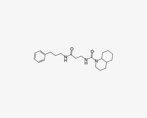 O=C(CCNC(=O)N1CCCC2CCCCC21)NCCCc1ccccc1